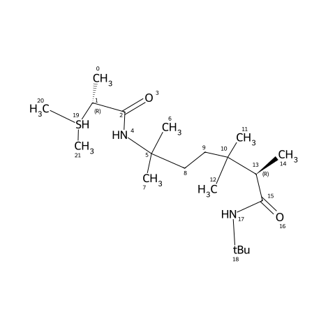 C[C@H](C(=O)NC(C)(C)CCC(C)(C)[C@@H](C)C(=O)NC(C)(C)C)[SH](C)C